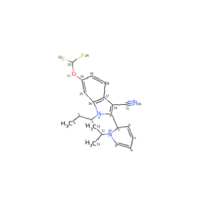 CCCn1c(C2C=CC=CN2C(C)C)c(C#N)c2ccc(OC(F)F)cc21